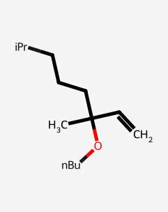 C=CC(C)(CCCC(C)C)OCCCC